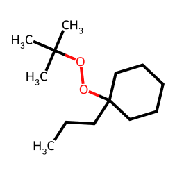 CCCC1(OOC(C)(C)C)CCCCC1